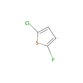 Fc1[c]cc(Cl)s1